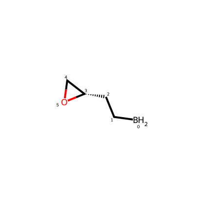 BCC[C@H]1CO1